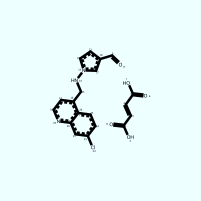 O=C(O)C=CC(=O)O.O=Cc1ccn(NCc2ccnc3cc(Cl)ccc23)c1